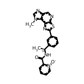 C[C@H](NC(=O)c1cccc[n+]1[O-])c1cccc(-c2nc3c(ncc4ncn(C)c43)s2)c1